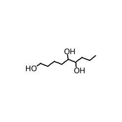 CCCC(O)C(O)CCCCO